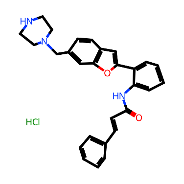 Cl.O=C(/C=C/c1ccccc1)Nc1ccccc1-c1cc2ccc(CN3CCNCC3)cc2o1